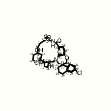 O=C1NS(=O)(=O)CCC[C@]2(O)CCO[C@H](C2)[C@@H]2CC[C@H]2CN2C[C@@]3(CCCc4cc(Cl)ccc43)COc3ccc1cc32